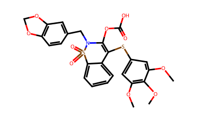 COc1cc(SC2=C(OC(=O)O)N(Cc3ccc4c(c3)OCO4)S(=O)(=O)c3ccccc32)cc(OC)c1OC